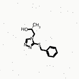 C[C@@H](O)Cn1cnnc1SCc1ccccc1